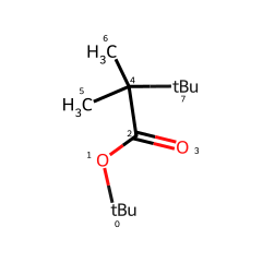 CC(C)(C)OC(=O)C(C)(C)C(C)(C)C